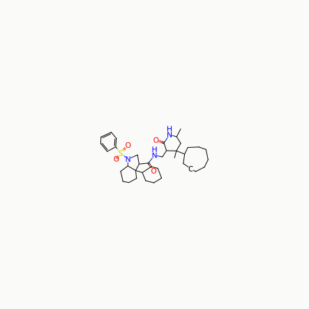 CC1CC(C)(C2CCCCCCCC2)C(CNC(=O)C2CN(S(=O)(=O)c3ccccc3)C3CCCCC23C2CCCCC2)C(=O)N1